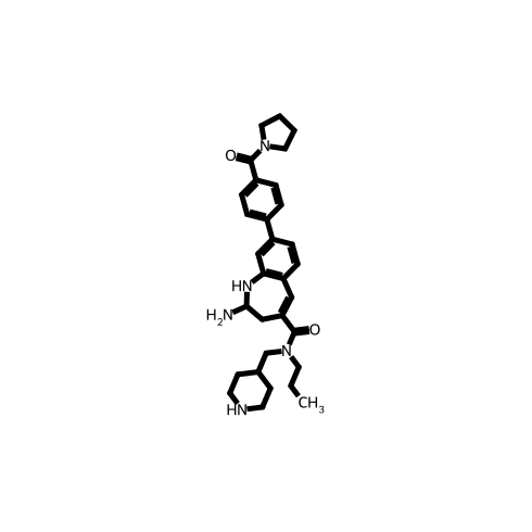 CCCN(CC1CCNCC1)C(=O)C1=Cc2ccc(-c3ccc(C(=O)N4CCCC4)cc3)cc2NC(N)C1